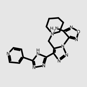 Nc1nonc1-n1nnc(-c2nnc(-c3ccncc3)[nH]2)c1CN1CCCCC1